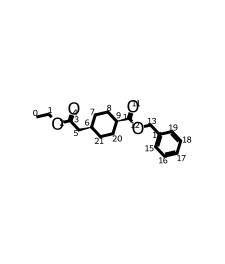 CCOC(=O)C[C@H]1CC[C@@H](C(=O)OCc2ccccc2)CC1